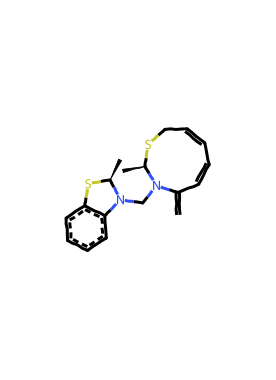 C=C1/C=C\C=C/CS[C@H](C)N1CN1c2ccccc2S[C@H]1C